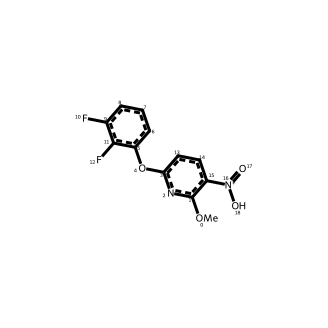 COc1nc(Oc2cccc(F)c2F)ccc1[N+](=O)O